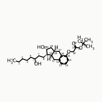 CCCCC[C@H](O)CC[C@@H]1[C@H]2Cc3cccc(OCC(=O)OC(C)(C)C)c3C[C@H]2C[C@H]1O